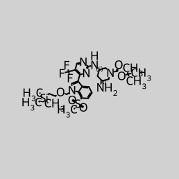 CC(C)(C)OC(=O)N1C[C@H](N)C[C@H](Nc2ncc(C(F)(F)F)c(-c3cn(COCC[Si](C)(C)C)c4c(S(C)(=O)=O)cccc34)n2)C1